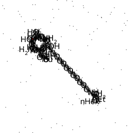 CCCCCCC(C)(CC)C1CC(=O)N(C/C(N)=C/NCCOCCOCCOCCOCCOCCOCCOCCOCCOCCOCCOCCSCc2c(O)ccc3c4c([nH]c23)[S+]([O-])C[C@@H](NC(=O)CNC(=O)[C@@H](NC(=O)CC)[C@@H](C)CC)C(=O)N[C@@H](CC(N)=O)C(=O)N2C[C@H](O)C[C@H]2C(=O)N[C@@H]([C@@H](C)[C@@H](O)CO)C(=O)N[C@H](C(N)=O)C4)C1=O